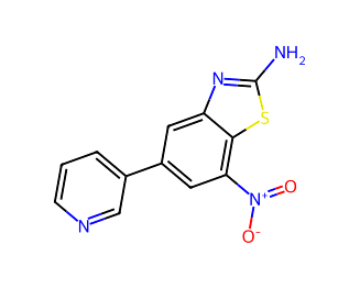 Nc1nc2cc(-c3cccnc3)cc([N+](=O)[O-])c2s1